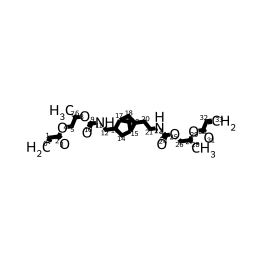 C=CC(=O)OCC(C)OC(=O)NCC1CC2CC1CC2CCNC(=O)OCC(C)OC(=O)C=C